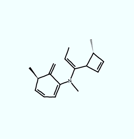 C=C1C(N(C)/C(=C/C)C2C=C[C@H]2C)=CC=C[C@H]1C